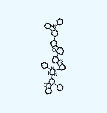 c1ccc(-c2nc(-c3cc(-c4ccccc4)c4c(c3)oc3ccccc34)nc(-c3cccc4sc5c(-c6cccc7c6oc6ccc(-c8ccc9c(c8)c8ccccc8n9-c8ccccc8)cc67)cccc5c34)n2)cc1